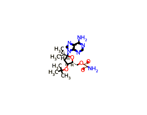 C[SiH](C)[C@]1(n2cnc3c(N)ncnc32)C[C@H](OC(C)(C)C)[C@@H](COS(N)(=O)=O)O1